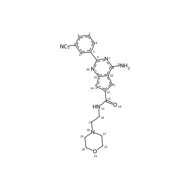 N#Cc1cccc(-c2nc(N)c3cc(C(=O)NCCN4CCOCC4)sc3n2)c1